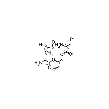 CC(C)C[C@H](N)C(=O)OCC(CO)OC(=O)CN.CC(O)CO